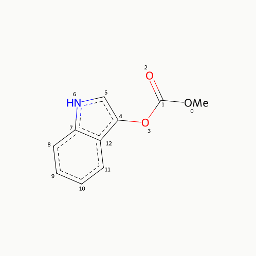 COC(=O)Oc1c[nH]c2ccccc12